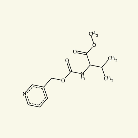 COC(=O)C(NC(=O)OCc1cccnc1)C(C)C